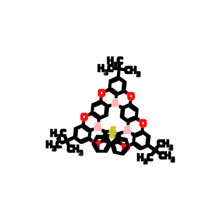 CC(C)(C)c1cc2c3c(c1)Oc1cc4c(cc1B3c1cc3c(cc1O2)Oc1cc(C(C)(C)C)cc2c1B3c1sc3ccccc3c1O2)B1c2sc3ccccc3c2Oc2cc(C(C)(C)C)cc(c21)O4